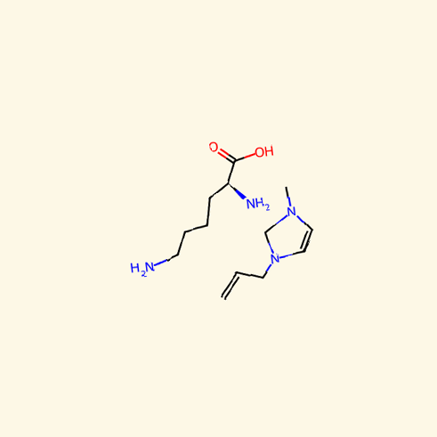 C=CCN1C=CN(C)C1.NCCCC[C@H](N)C(=O)O